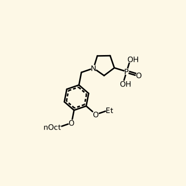 CCCCCCCCOc1ccc(CN2CCC(P(=O)(O)O)C2)cc1OCC